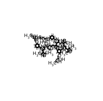 CNCC(O)COc1cccc(-c2nc(-c3c(C)noc3C)cc(-c3c(Cc4cnc(-c5cccc(OCC(O)CNC)c5)nc4-c4c(CC5CC(N(C)c6cc(-c7c(C)noc7C)nc(-c7cccc(OCC(O)CNC)c7)n6)CCO5)noc4C)noc3C)n2)c1